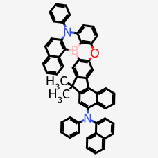 CC1(C)c2cc3c(cc2-c2c1cc(N(c1ccccc1)c1cccc4ccccc14)c1ccccc21)Oc1cccc2c1B3c1c(ccc3ccccc13)N2c1ccccc1